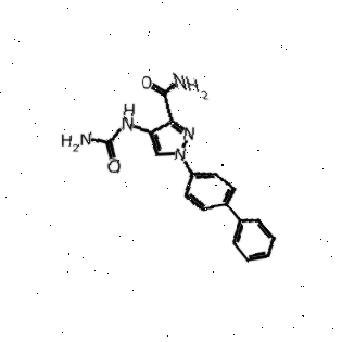 NC(=O)Nc1cn(-c2ccc(-c3ccccc3)cc2)nc1C(N)=O